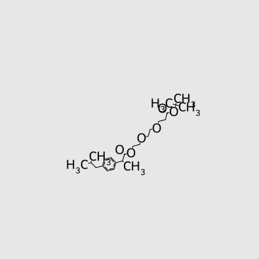 CC(C)Cc1ccc(C(C)C(=O)OCCOCCOCCC(=O)OC(C)(C)C)cc1